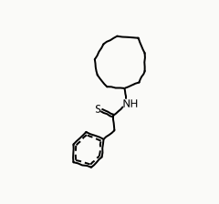 S=C(Cc1ccccc1)NC1CCCCCCCCC1